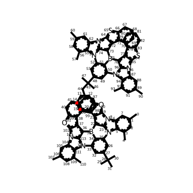 Cc1cc(C)c2c(c1)n1c3oc4ccc5ccccc5c4c3c3c1n2-c1cc(C(C)(C)C)cc2c1B3c1c3c4c(ccc5c(CC(C)(C)c6cc7c8c(c6)-n6c9c(C)cc(C)cc9n9c%10sc%11ccccc%11c%10c(c69)B8c6c8c9ccccc9sc8n8c9cc(C)cc(C)c9n-7c68)cccc54)oc3n3c4cc(C)cc(C)c4n-2c13